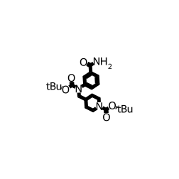 CC(C)(C)OC(=O)N1CCC(CN(C(=O)OC(C)(C)C)c2cccc(C(N)=O)c2)CC1